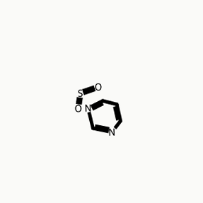 O=S=O.c1cncnc1